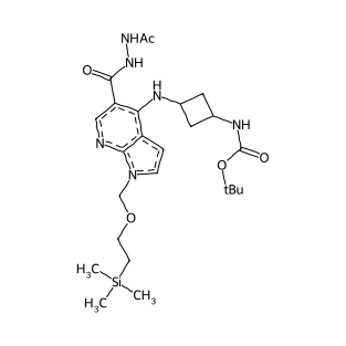 CC(=O)NNC(=O)c1cnc2c(ccn2COCC[Si](C)(C)C)c1NC1CC(NC(=O)OC(C)(C)C)C1